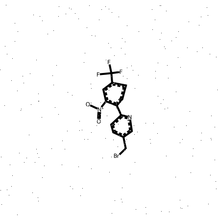 O=[N+]([O-])c1cc(C(F)(F)F)ccc1-c1ccc(CBr)cn1